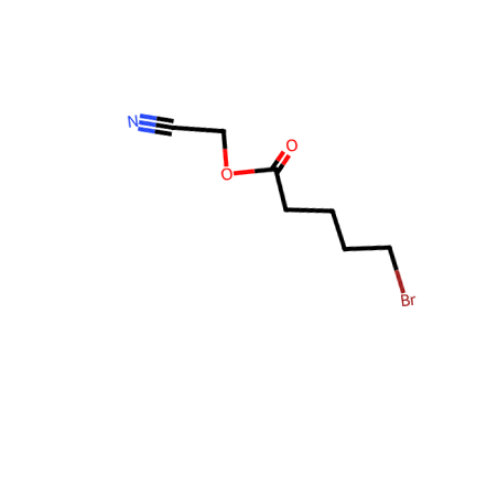 N#CCOC(=O)CCCCBr